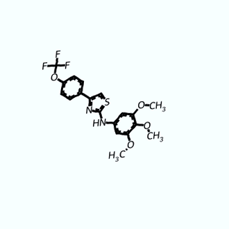 COc1cc(Nc2nc(-c3ccc(OC(F)(F)F)cc3)cs2)cc(OC)c1OC